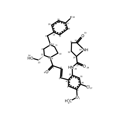 COc1cc(/C=C/C(=O)N2CCN(Cc3ccc(F)cc3)C[C@H]2CO)c(NC(=O)C2CCC(=O)N2)cc1Cl